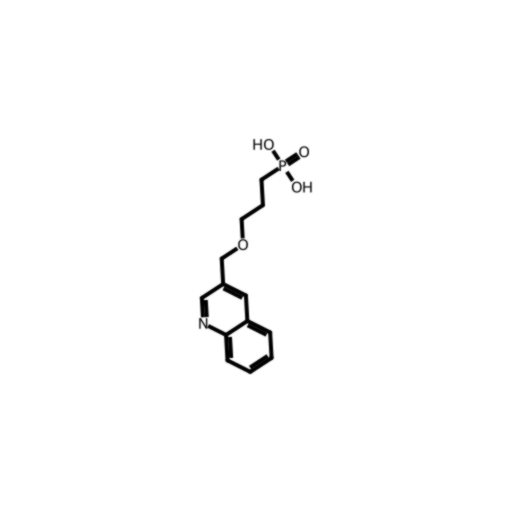 O=P(O)(O)CCCOCc1cnc2ccccc2c1